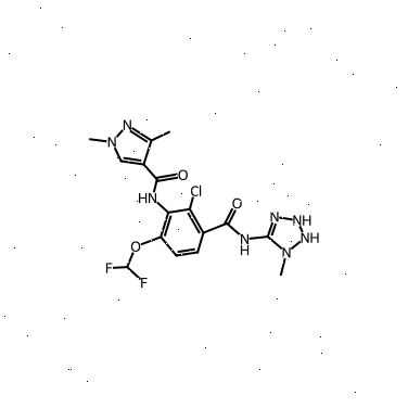 Cc1nn(C)cc1C(=O)Nc1c(OC(F)F)ccc(C(=O)NC2=NNNN2C)c1Cl